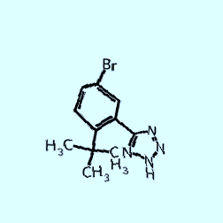 CC(C)(C)c1ccc(Br)cc1-c1nn[nH]n1